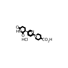 Cl.O=C1CC[C@@H](c2ccc(N3CCC(C(=O)O)CC3)nc2)C(=O)N1